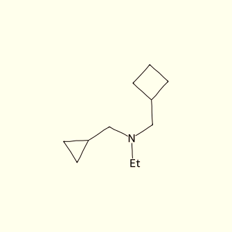 CCN(CC1CCC1)CC1CC1